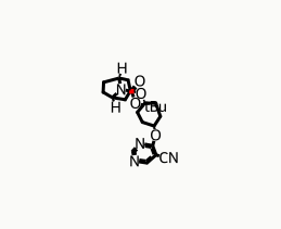 CC(C)(C)OC(=O)N1[C@@H]2CC[C@H]1C[C@H](O[C@H]1CC[C@H](Oc3ncncc3C#N)CC1)C2